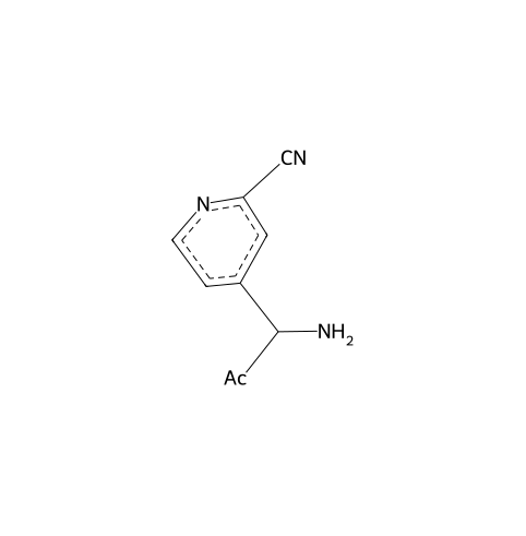 CC(=O)C(N)c1ccnc(C#N)c1